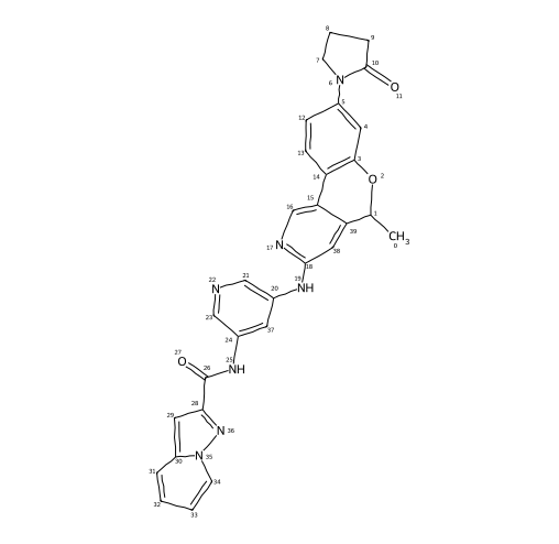 CC1Oc2cc(N3CCCC3=O)ccc2-c2cnc(Nc3cncc(NC(=O)c4cc5ccccn5n4)c3)cc21